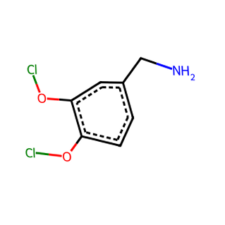 NCc1ccc(OCl)c(OCl)c1